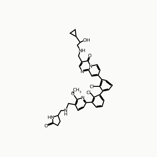 COc1nc(-c2cccc(-c3cccc(-c4ccn5c(=O)c(CNCC(O)C6CC6)cnc5c4)c3Cl)c2Cl)ccc1CNCC1CCC(=O)N1